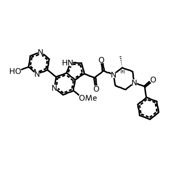 COc1cnc(-c2cncc(O)n2)c2[nH]cc(C(=O)C(=O)N3CCN(C(=O)c4ccccc4)C[C@H]3C)c12